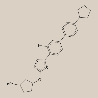 CCCC1CCC(Oc2ccc(-c3ccc(-c4ccc(C5CCCC5)cc4)cc3F)s2)C1